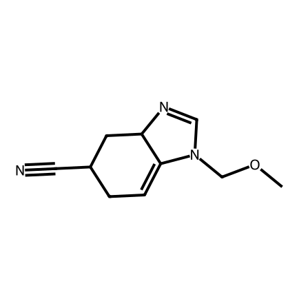 COCN1C=NC2CC(C#N)CC=C21